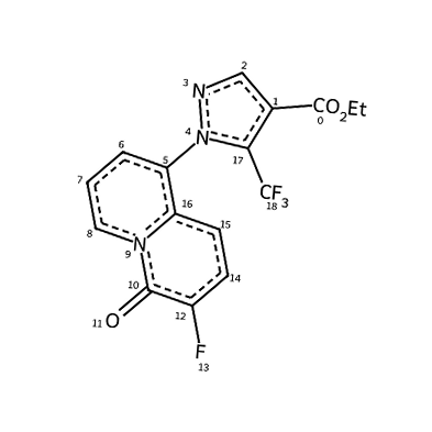 CCOC(=O)c1cnn(-c2cccn3c(=O)c(F)ccc23)c1C(F)(F)F